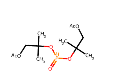 CC(=O)OCC(C)(C)O[PH](=O)OC(C)(C)COC(C)=O